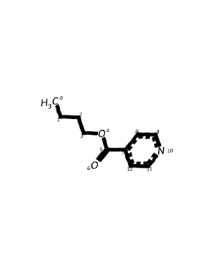 CCCCOC(=O)c1ccncc1